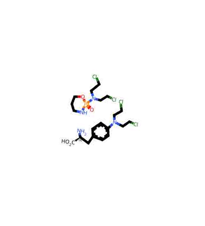 N[C@@H](Cc1ccc(N(CCCl)CCCl)cc1)C(=O)O.O=P1(N(CCCl)CCCl)NCCCO1